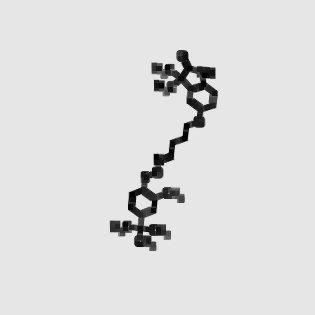 Cc1cc(C(C)(C)C)ccc1SON=CCCCOc1ccc2c(c1)C(C)(C)C(=O)N2